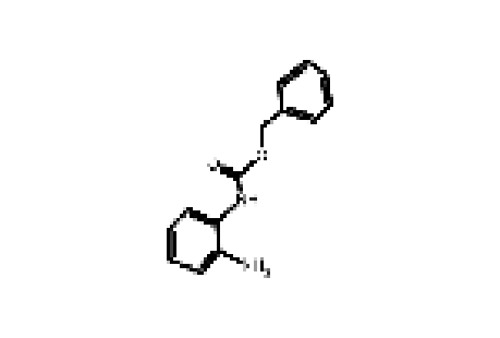 Nc1ccccc1NC(=O)OCc1ccccc1